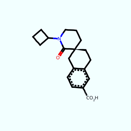 O=C(O)c1ccc2c(c1)CC[C@@]1(CCCN(C3CCC3)C1=O)C2